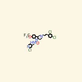 O=C(NCc1ccnc(Cl)c1)n1c2c(c3ccc(OC(F)(F)F)cc31)CN(CC=Cc1ccc(Cl)cc1Cl)CC2